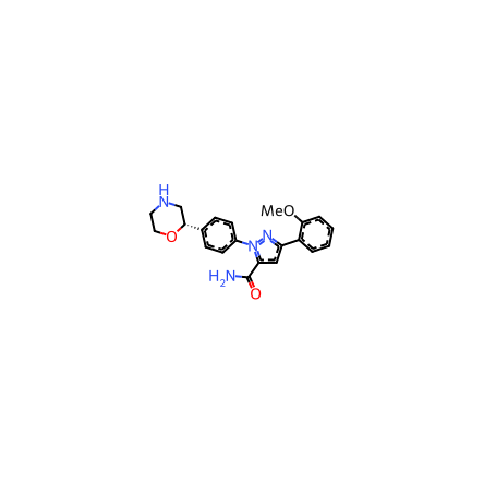 COc1ccccc1-c1cc(C(N)=O)n(-c2ccc([C@H]3CNCCO3)cc2)n1